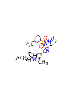 CC(=O)N/C(C)=N/c1ccc(-c2cnc(C)c(NS(=O)(=O)c3cccc(C(F)(F)F)c3)c2)cc1C